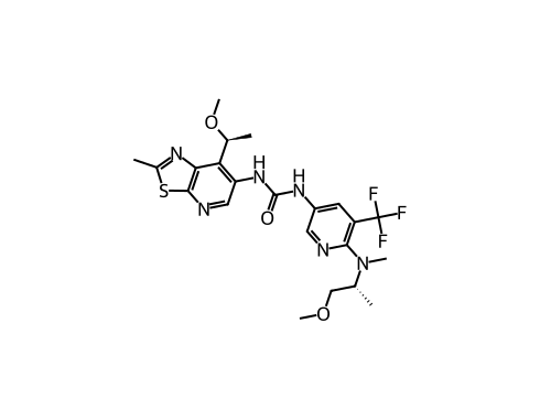 COC[C@@H](C)N(C)c1ncc(NC(=O)Nc2cnc3sc(C)nc3c2[C@H](C)OC)cc1C(F)(F)F